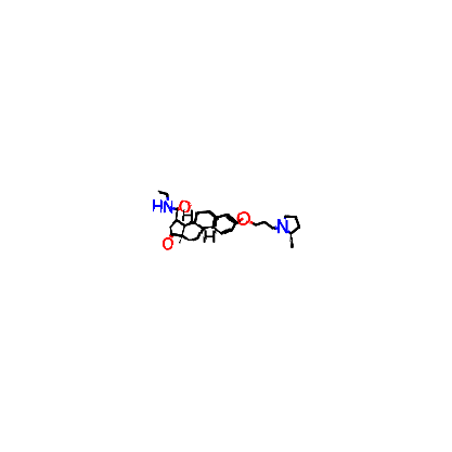 CCNC(=O)[C@@H]1CC(=O)[C@@]2(C)CC[C@@H]3c4ccc(OCCCN5CCC[C@H]5C)cc4CC[C@H]3C12